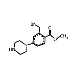 COC(=O)c1ccc(N2CCNCC2)cc1CBr